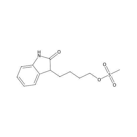 CS(=O)(=O)OCCCCC1C(=O)Nc2ccccc21